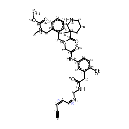 C#C/C=C\C=N/CNC(=O)Cc1cc(NC(=O)CN(Cc2ccccc2CN(C)C(=O)OC(C)(C)C)C(=O)C2(C)CCCNC2)ccc1CC